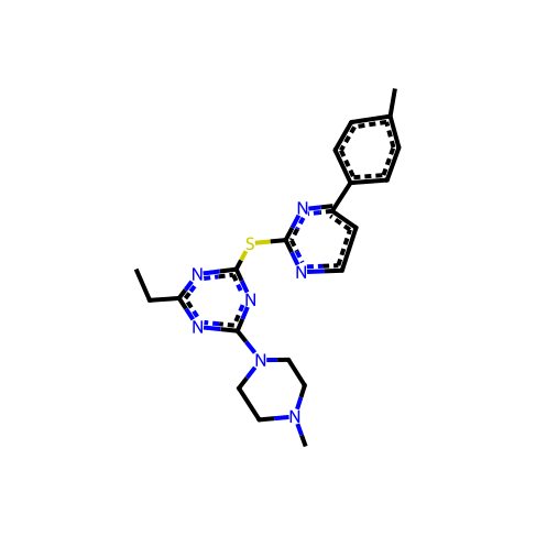 CCc1nc(Sc2nccc(-c3ccc(C)cc3)n2)nc(N2CCN(C)CC2)n1